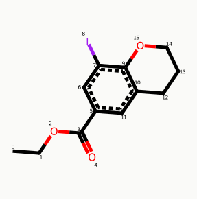 CCOC(=O)c1cc(I)c2c(c1)CCCO2